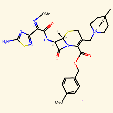 CO/N=C(\C(=O)N[C@@H]1C(=O)N2C(C(=O)OCc3ccc(OC)cc3)=C(C[N+]34CCC(C)(CC3)CC4)CS[C@@H]12)c1nsc(N)n1.[I-]